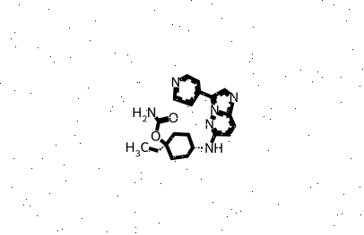 CC[C@]1(OC(N)=O)CC[C@H](Nc2ccc3ncc(-c4ccncc4)n3n2)CC1